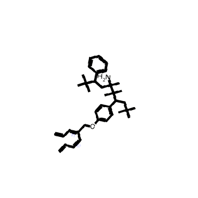 C=C/C=C\C(=C/C=C)COc1ccc(C(CC(C)(C)C)C(C)(C)C(C)(N)CC(c2ccccc2)C(C)(C)C)cc1